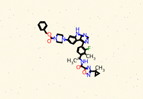 Cc1c([C@@H](C)NC(=O)c2nc(C3(C)CC3)no2)ccc(-c2ncnc3[nH]c4cc(N5CCN(C(=O)OCc6ccccc6)CC5)ccc4c23)c1F